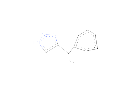 [Ag].c1ccc(Cc2c[nH]nn2)cc1